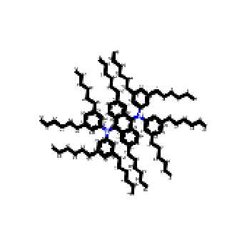 CCCCCCC1=CC(N(c2cc(CCCCCC)cc(CCCCCC)c2)c2c3cc(CCCCCC)ccc3c(N(c3cc(CCCCCC)cc(CCCCCC)c3)c3cc(CCCCCC)cc(CCCCCC)c3)c3cc(CCCCCC)ccc23)=CC(CCCCCC)C1